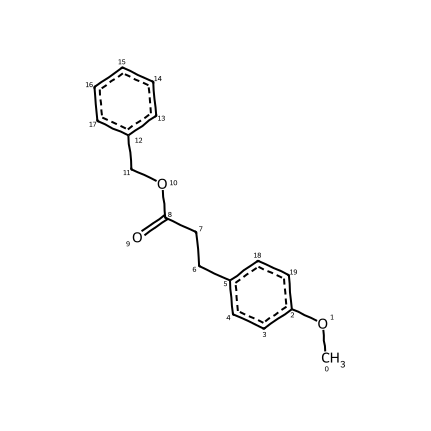 COc1ccc(CCC(=O)OCc2ccccc2)cc1